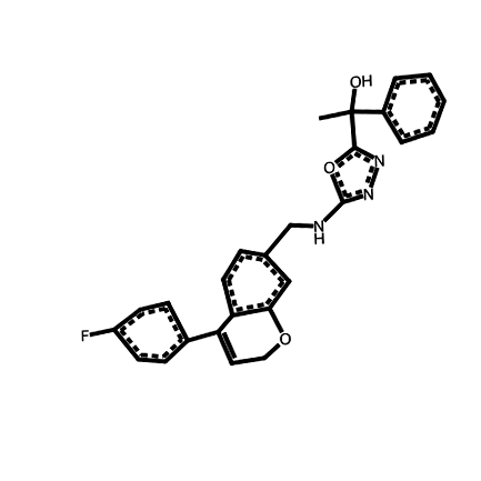 CC(O)(c1ccccc1)c1nnc(NCc2ccc3c(c2)OCC=C3c2ccc(F)cc2)o1